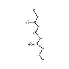 CCC(O)CSCC(O)CSC